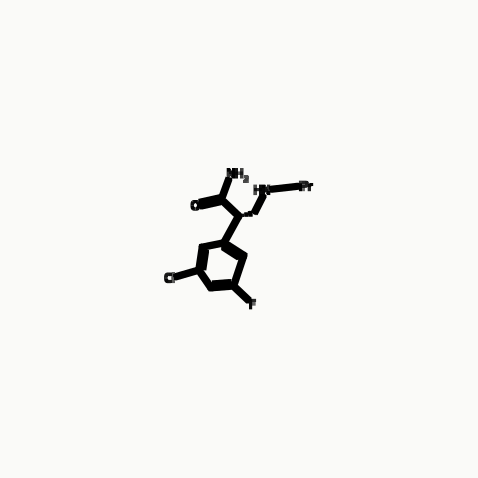 CC(C)NC[C@@H](C(N)=O)c1cc(F)cc(Cl)c1